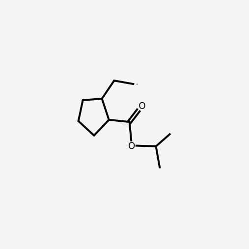 [CH2]CC1CCCC1C(=O)OC(C)C